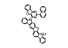 c1ccc2c(-c3nc(-n4c5ccccc5c5cc6c(cc54)sc4c6ccc5c6ccccc6[nH]c54)c4oc5ccccc5c4n3)cccc2c1